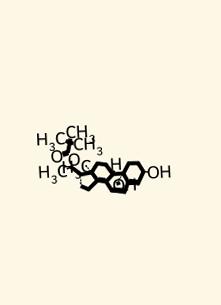 C[C@H](OC(=O)C(C)(C)C)[C@H]1CCC2=C3C=CC4=C[C@@H](O)CC[C@]4(CO)[C@H]3CC[C@@]21C